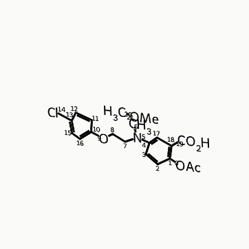 CC(=O)Oc1ccc(N(C)CCOc2ccc(Cl)cc2)cc1C(=O)O.COC